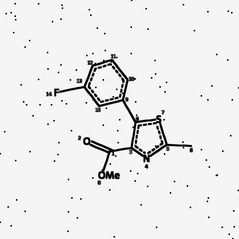 COC(=O)c1nc(C)sc1-c1cccc(F)c1